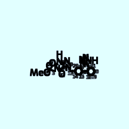 COC(=O)Cn1c(=O)[nH]c2ncn(Cc3ccc(-c4ccccc4-c4nnn[nH]4)cc3)c2c1=O